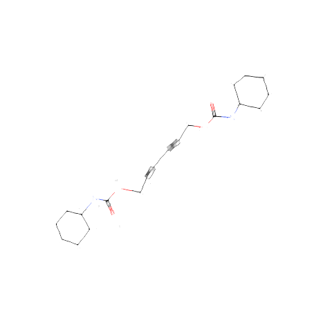 O=C(NC1CCCCC1)OCC#CC#CCOC(=O)NC1CCCCC1